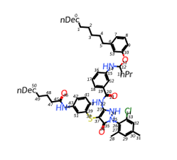 CCCCCCCCCCCCCCCc1cccc(OC(CCC)Nc2cccc(C(=O)Nc3[nH]n(-c4c(C)cc(C)cc4Cl)c(=O)c3Sc3cccc(NC(=O)CCCCCCCCCCCCC)c3)c2)c1